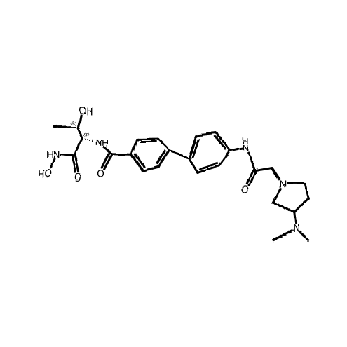 C[C@@H](O)[C@H](NC(=O)c1ccc(-c2ccc(NC(=O)CN3CCC(N(C)C)C3)cc2)cc1)C(=O)NO